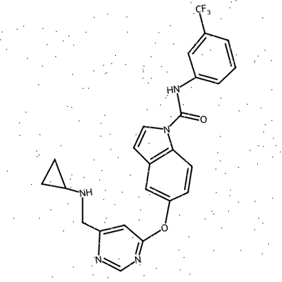 O=C(Nc1cccc(C(F)(F)F)c1)n1ccc2cc(Oc3cc(CNC4CC4)ncn3)ccc21